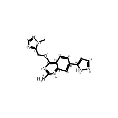 Cn1ncnc1COc1nc(N)nc2cc(-c3ccn[nH]3)ccc12